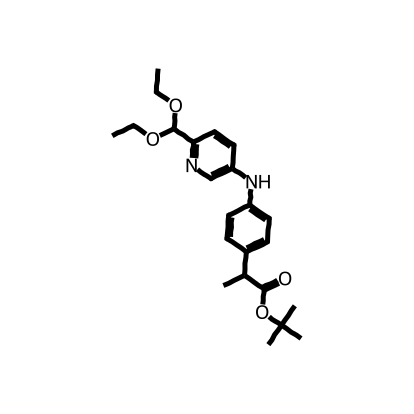 CCOC(OCC)c1ccc(Nc2ccc(C(C)C(=O)OC(C)(C)C)cc2)cn1